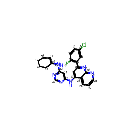 Fc1ccc(Cl)cc1-c1cc(Nc2cc(NC3CCCCC3)ncn2)c2cccnc2n1